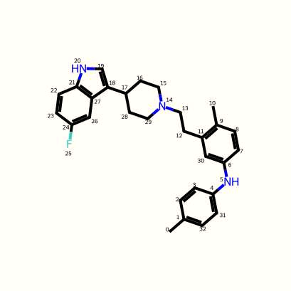 Cc1ccc(Nc2ccc(C)c(CCN3CCC(c4c[nH]c5ccc(F)cc45)CC3)c2)cc1